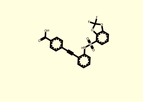 O=C(O)c1ccc(C#Cc2ccccc2NS(=O)(=O)c2cccc3c2OC(F)(F)O3)cc1